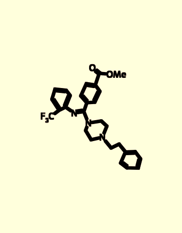 COC(=O)c1ccc(C(=Nc2ccccc2C(F)(F)F)N2CCN(CCc3ccccc3)CC2)cc1